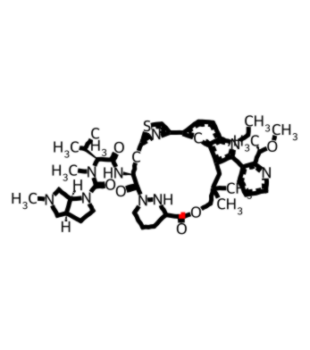 CCn1c(-c2cccnc2[C@H](C)OC)c2c3cc(ccc31)-c1csc(n1)C[C@H](NC(=O)[C@H](C(C)C)N(C)C(=O)N1CC[C@H]3CN(C)C[C@H]31)C(=O)N1CCC[C@](C=O)(COCC(C)(C)C2)N1